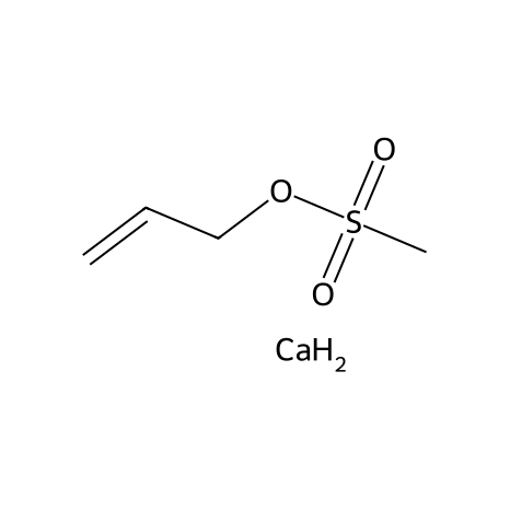 C=CCOS(C)(=O)=O.[CaH2]